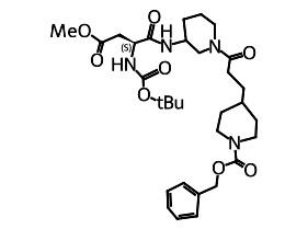 COC(=O)C[C@H](NC(=O)OC(C)(C)C)C(=O)NC1CCCN(C(=O)CCC2CCN(C(=O)OCc3ccccc3)CC2)C1